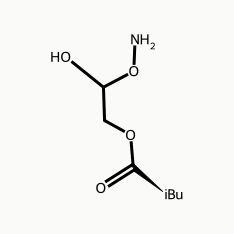 CC[C@H](C)C(=O)OCC(O)ON